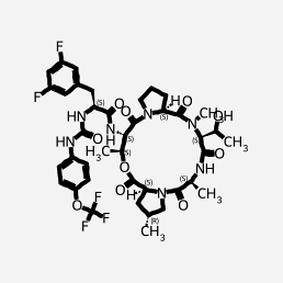 CC(O)[C@H]1C(=O)N[C@@H](C)C(=O)N2C[C@H](C)C[C@H]2C(=O)O[C@@H](C)[C@H](NC(=O)[C@H](Cc2cc(F)cc(F)c2)NC(=O)Nc2ccc(OC(F)(F)F)cc2)C(=O)N2CCC[C@H]2C(=O)N1C